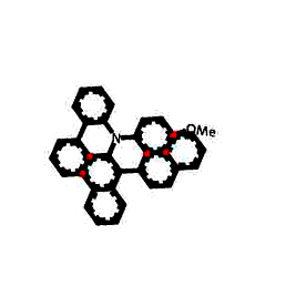 COc1ccc(N(c2ccccc2-c2ccccc2)c2ccc3ccccc3c2-c2ccc3ccccc3c2)cc1